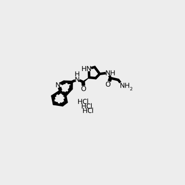 Cl.Cl.Cl.NCC(=O)NC1CN[C@H](C(=O)Nc2cnc3ccccc3c2)C1